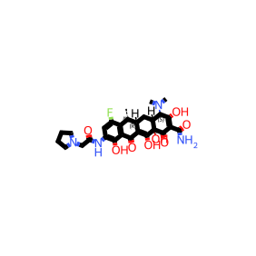 C[C@H]1c2c(F)cc(NC(=O)CN3CCCC3)c(O)c2C(=O)C2=C(O)[C@]3(O)C(=O)C(C(N)=O)=C(O)[C@@H](N(C)C)[C@@H]3C[C@@H]21